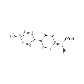 CCC(C(=O)O)=C1CCC(c2ccc(O)cc2)CC1